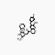 CC1COCCN1C[C@H]1CN[C@H](C)CN1CC(=O)N1CCOc2nc(O)c(Cc3ccc(F)cc3)cc21